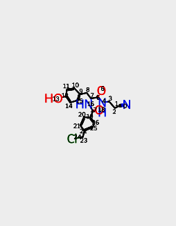 N#CCCNC(=O)C(Cc1ccc(O)cc1)NC(=O)c1ccc(CCl)cc1